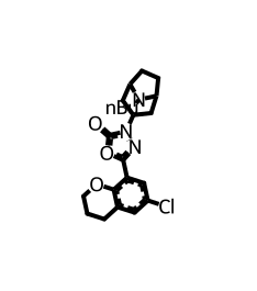 CCCCN1C2CCC1CC(n1nc(-c3cc(Cl)cc4c3OCCC4)oc1=O)C2